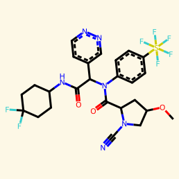 COC1CC(C(=O)N(c2ccc(S(F)(F)(F)(F)F)cc2)C(C(=O)NC2CCC(F)(F)CC2)c2ccnnc2)N(C#N)C1